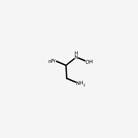 CCCC(CN)NO